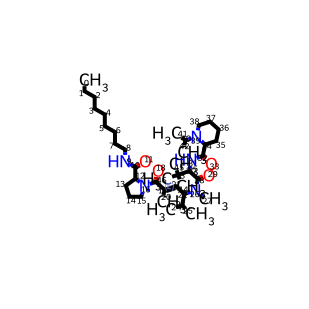 CCCCCCCCCNC(=O)C1CCCN1C(=O)/C(C)=C/C(C(C)C)N(C)C(=O)C(NC(=O)C1CCCCN1C(C)C)C(C)(C)C